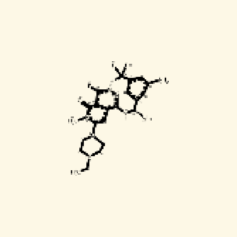 CCN1CCN(c2cc3c(N[C@H](C)c4cc(N)cc(C(F)(F)F)c4)nnc(F)c3c(=O)n2C)CC1